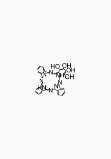 Oc1c(O)c(O)c2c3nc4nc(nc5[nH]c(nc6nc(nc([nH]3)c2c1O)-c1ccccc1-6)c1ccccc51)-c1ccccc1-4